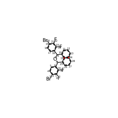 Fc1c(Br)ccc(C(OC(c2ccccc2)c2ccc(Br)c(F)c2F)c2ccccc2)c1F